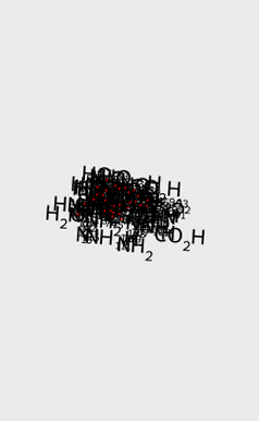 CC[C@H](C)[C@H](NC(=O)[C@H](C)NC(=O)[C@@H](N)Cc1c[nH]cn1)C(=O)N[C@@H](Cc1ccc(O)cc1)C(=O)N1CCC[C@H]1C(=O)N[C@@H](CCCNC(=N)N)C(=O)N[C@@H](Cc1c[nH]cn1)C(=O)N[C@H](CO)C(=O)N[C@H](Cc1c[nH]c2ccccc12)C(=O)N[C@@H](C(=O)N[C@H](Cc1c[nH]c2ccccc12)C(=O)N[C@H](CCC(=O)O)C(=O)N[C@H](CCCCN)C(=O)N[C@H](CCCCN)C(=O)N[C@H](CC(C)C)C(=O)N[C@H](CCC(=O)O)C(=O)O)[C@H](C)O